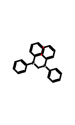 [CH](P(c1ccccc1)c1ccccc1)P(c1ccccc1)c1ccccc1